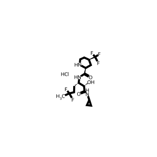 CC(F)(F)CC[C@H](NC(=O)[C@@H]1C[C@H](C(F)(F)F)CCN1)[C@H](O)C(=O)NC1CC1.Cl